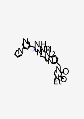 CCN1CCN(Cc2ccc3nc(CN(N)/C=C(\N)c4cncc(N5C=CCC5)c4)cn3c2)C(=O)C1=O